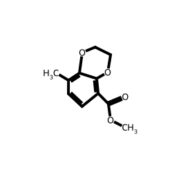 COC(=O)c1ccc(C)c2c1OCCO2